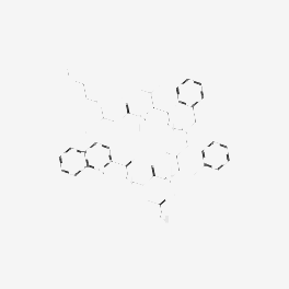 COCCOC(C)OC(=O)N[C@H](C(=O)NN(Cc1ccccc1)C[C@H](O)[C@H](Cc1ccccc1)NC(=O)[C@H](CC(N)=O)NC(=O)c1ccc2ccccc2n1)C(C)C